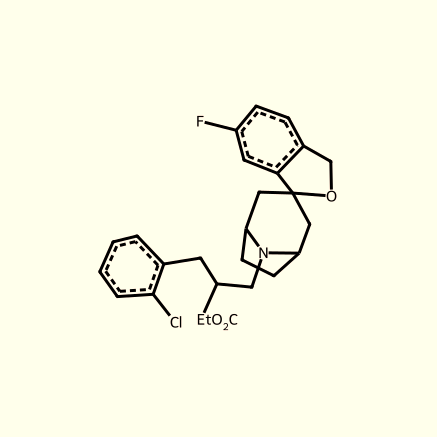 CCOC(=O)C(Cc1ccccc1Cl)CN1C2CCC1CC1(C2)OCc2ccc(F)cc21